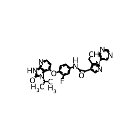 CCc1c(C2OC2Nc2ccc(Oc3ccnc4[nH]c(=O)n(C(C)C)c34)c(F)c2)cnn1-c1cncnc1